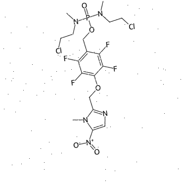 CN(CCCl)P(=O)(OCc1c(F)c(F)c(OCc2ncc([N+](=O)[O-])n2C)c(F)c1F)N(C)CCCl